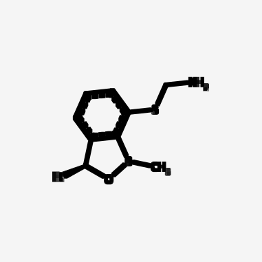 CC[C@@H]1OB(C)c2c(SCN)cccc21